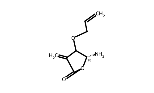 C=CCOC1C(=C)C(=O)O[C@H]1N